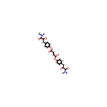 CN(C)C(=O)C(=O)Cc1ccc(OC(=O)/C=C/C(=O)Oc2ccc(CC(=O)C(=O)N(C)C)cc2)cc1